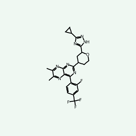 Cc1nc2nc(C3CCOC(c4nc(C5CC5)n[nH]4)C3)nc(-c3ccc(C(F)(F)F)cc3F)c2nc1C